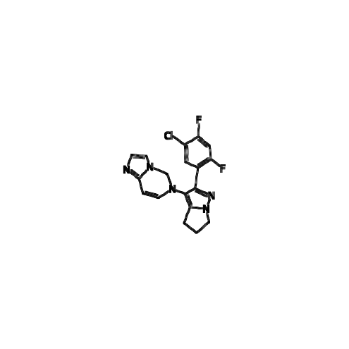 Fc1cc(F)c(-c2nn3c(c2N2C=Cc4nccn4C2)CCC3)cc1Cl